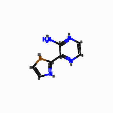 Nc1nccnc1-c1nccs1